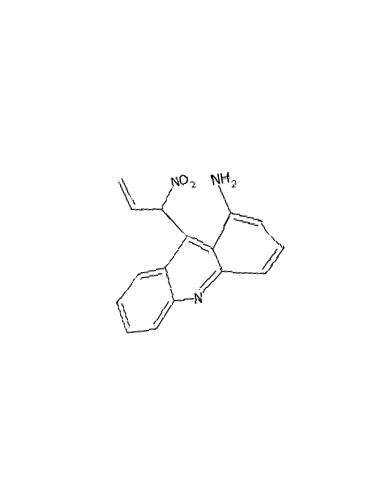 C=CC(c1c2ccccc2nc2cccc(N)c12)[N+](=O)[O-]